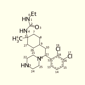 CCNC(=O)NC1(C)CCC(CC(c2cccc(Cl)c2Cl)N2CCNCC2)CC1